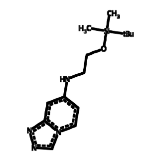 CC(C)(C)[Si](C)(C)OCCNc1ccn2cnnc2c1